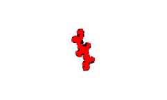 C1=CC2c3cc(-c4ccc5c(-c6ccccc6)c6cc(C7=CC8c9ccccc9N(c9ccc%10ccccc%10c9)C8C=C7)ccc6c(-c6ccccc6)c5c4)ccc3N(c3ccc4c(c3)CCC=C4)C2C=C1